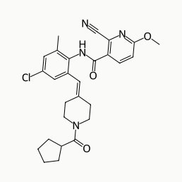 COc1ccc(C(=O)Nc2c(C)cc(Cl)cc2C=C2CCN(C(=O)C3CCCC3)CC2)c(C#N)n1